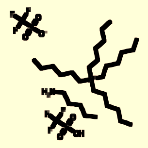 CCCCCC[N+](CCCCCC)(CCCCCC)CCCCCC.CCCCCN.O=S(=O)(O)C(F)(F)F.O=S(=O)([O-])C(F)(F)F